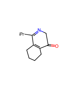 CC(C)C1=NCC(=O)C2=C1CCCC2